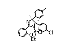 CCOc1ccccc1C1=N[C@@](C)(c2ccc(C)cc2)[C@@](C)(c2ccc(Cl)cc2)N1C(=O)Cl